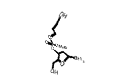 BC1CC(OP(=O)(OC)OCCCO)C(CO)O1